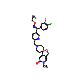 CCON=C(c1ccc(CN2CCC3(CC2)OCc2cn(C)c(=O)cc23)nc1)c1ccc(F)c(F)c1